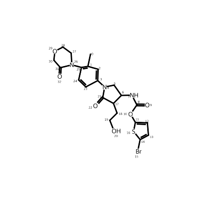 Cc1cc(N2CC(NC(=O)Oc3ccc(Br)s3)C(CCO)C2=O)ccc1N1CCOCC1=O